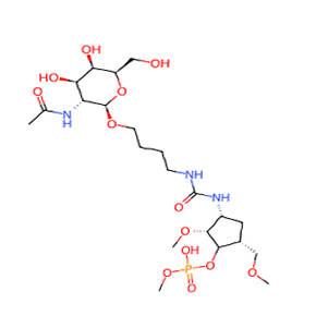 COC[C@H]1C[C@@H](NC(=O)NCCCCO[C@@H]2O[C@H](CO)[C@H](O)[C@H](O)[C@H]2NC(C)=O)[C@@H](OC)C1OP(=O)(O)OC